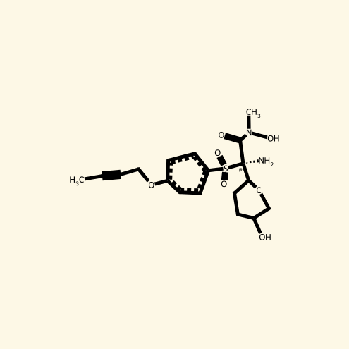 CC#CCOc1ccc(S(=O)(=O)[C@@](N)(C(=O)N(C)O)C2CCC(O)CC2)cc1